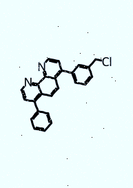 ClCc1cccc(-c2ccnc3c2ccc2c(-c4ccccc4)ccnc23)c1